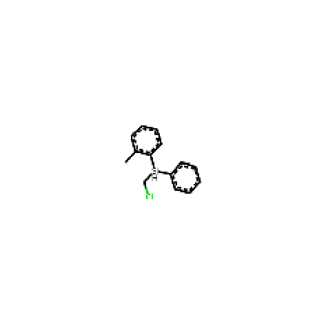 Cc1ccccc1[SiH](CCl)c1ccccc1